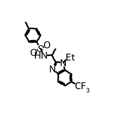 CCn1c(C(C)NS(=O)(=O)c2ccc(C)cc2)nc2ccc(C(F)(F)F)cc21